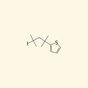 CC(C)(I)CC(C)(C)c1cccs1